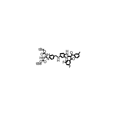 Cc1cccc(C(=O)/C(C(=O)c2cc(F)cc(F)c2)=C2\Nc3ccc(NCc4ccc(N=C(NC(=O)OC(C)(C)C)NC(=O)OC(C)(C)C)cc4)cc3N2)c1